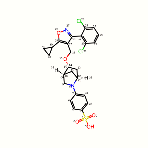 O=S(=O)(O)c1ccc(N2C[C@@H]3C[C@H]2C[C@H]3OCc2c(-c3c(Cl)cccc3Cl)noc2C2CC2)cc1